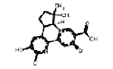 CC1(C)CCC2c3cc(O)c(Cl)nc3-c3cc(=O)c(C(=O)O)cn3[C@@H]21